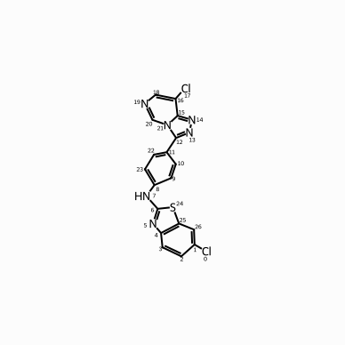 Clc1ccc2nc(Nc3ccc(-c4nnc5c(Cl)cncn45)cc3)sc2c1